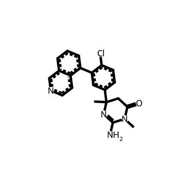 CN1C(=O)CC(C)(c2ccc(Cl)c(-c3cccc4cnccc34)c2)N=C1N